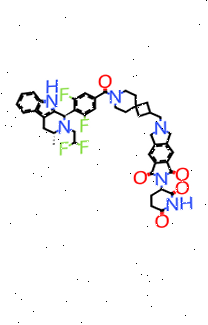 C[C@@H]1Cc2c([nH]c3ccccc23)[C@@H](c2c(F)cc(C(=O)N3CCC4(CC3)CC(CN3Cc5cc6c(cc5C3)C(=O)N(C3CCC(=O)NC3=O)C6=O)C4)cc2F)N1CC(F)F